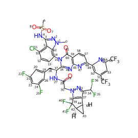 Cn1nc(NS(C)(=O)=O)c2c(Cl)ccc(-n3c([C@H](Cc4cc(F)cc(F)c4)NC(=O)Cn4nc(C(F)F)c5c4C(F)(F)[C@@H]4C[C@H]54)nc4nc(-c5cc(C(F)(F)F)cc(C(F)(F)F)n5)ccc4c3=O)c21